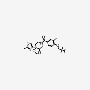 Cc1nc([C@]23CCN(C(=O)c4ccc(OCC(C)(C)F)c(C)c4)CC2OCO3)cs1